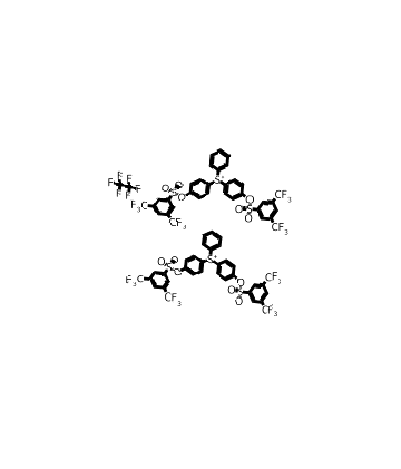 FC(F)(F)C(F)(F)F.O=S(=O)(Oc1ccc([S+](c2ccccc2)c2ccc(OS(=O)(=O)c3cc(C(F)(F)F)cc(C(F)(F)F)c3)cc2)cc1)c1cc(C(F)(F)F)cc(C(F)(F)F)c1.O=S(=O)(Oc1ccc([S+](c2ccccc2)c2ccc(OS(=O)(=O)c3cc(C(F)(F)F)cc(C(F)(F)F)c3)cc2)cc1)c1cc(C(F)(F)F)cc(C(F)(F)F)c1